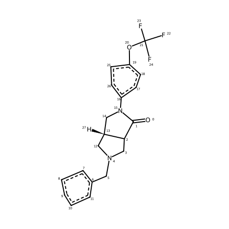 O=C1C2CN(Cc3ccccc3)C[C@@H]2CN1c1ccc(OC(F)(F)F)cc1